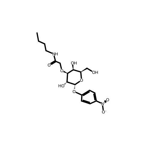 CCCCNC(=O)CO[C@H]1[C@@H](O)[C@@H](CO)O[C@H](Oc2ccc([N+](=O)[O-])cc2)[C@@H]1O